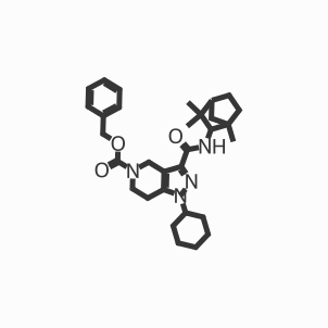 CC12CCC(C1)C(C)(C)C2NC(=O)c1nn(C2CCCCC2)c2c1CN(C(=O)OCc1ccccc1)CC2